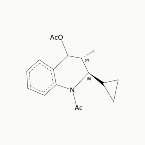 CC(=O)OC1c2ccccc2N(C(C)=O)[C@H](C2CC2)[C@H]1C